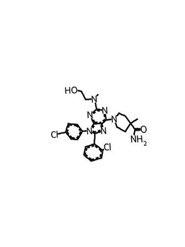 CN(CCO)c1nc(N2CCC(C)(C(N)=O)CC2)c2nc(-c3ccccc3Cl)n(-c3ccc(Cl)cc3)c2n1